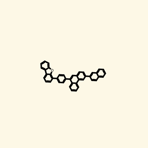 c1ccc2cc(-c3ccc4cc(-c5ccc(-c6cccc7c6oc6ccccc67)cc5)c5ccccc5c4c3)ccc2c1